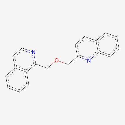 c1ccc2nc(COCc3nccc4ccccc34)ccc2c1